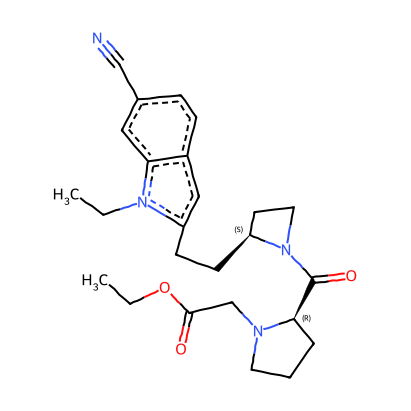 CCOC(=O)CN1CCC[C@@H]1C(=O)N1CC[C@@H]1CCc1cc2ccc(C#N)cc2n1CC